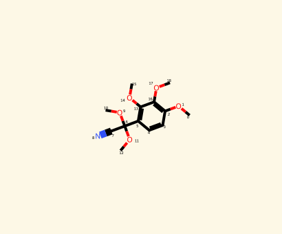 COc1ccc(C(C#N)(OC)OC)c(OC)c1OC